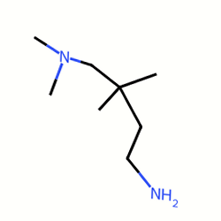 CN(C)CC(C)(C)CCN